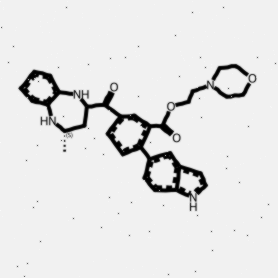 C[C@H]1CC(C(=O)c2ccc(-c3ccc4[nH]ccc4c3)c(C(=O)OCCN3CCOCC3)c2)Nc2ccccc2N1